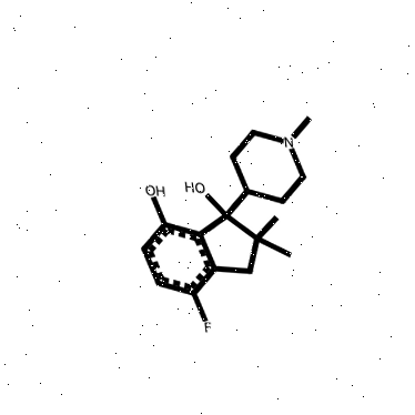 CN1CCC(C2(O)c3c(O)ccc(F)c3CC2(C)C)CC1